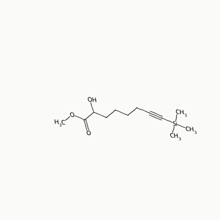 COC(=O)C(O)CCCCC#C[Si](C)(C)C